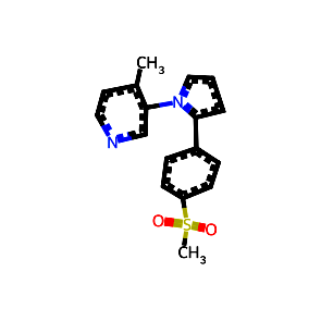 Cc1ccncc1-n1cccc1-c1ccc(S(C)(=O)=O)cc1